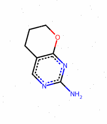 Nc1ncc2c(n1)OCCC2